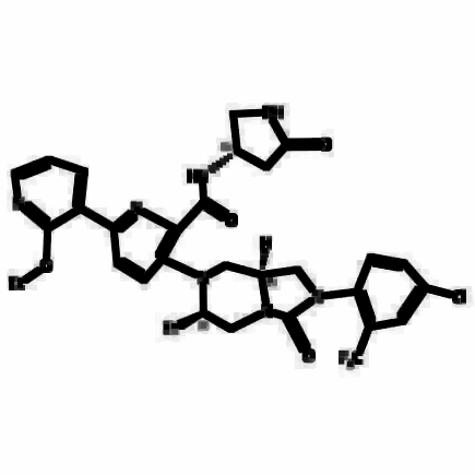 CCOc1ncccc1-c1ccc(N2C[C@H]3CN(c4ccc(Cl)cc4C(F)(F)F)C(=O)N3C[C@H]2CC)c(C(=O)N[C@@H]2CNC(=O)C2)n1